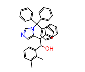 Cc1cccc(C(O)C(c2ccccc2)c2cncn2C(c2ccccc2)(c2ccccc2)c2ccccc2)c1C